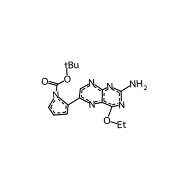 CCOc1nc(N)nc2ncc(-c3cccn3C(=O)OC(C)(C)C)nc12